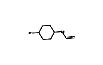 O=[C]NC1CCC(O)CC1